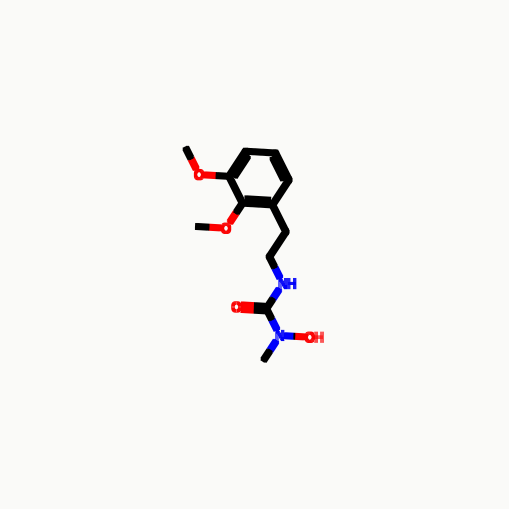 COc1cccc(CCNC(=O)N(C)O)c1OC